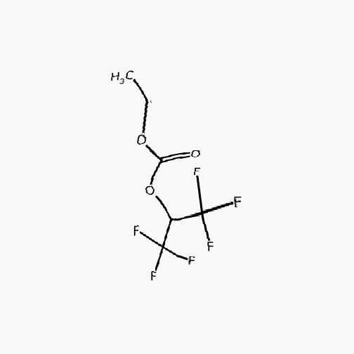 C[CH]OC(=O)OC(C(F)(F)F)C(F)(F)F